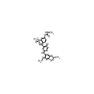 CNC(=O)Oc1ccc(Nc2nc(Nc3cc4c(cc3OC)CCN(C)C4)ncc2Cl)c(P(C)(C)=O)c1